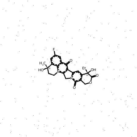 CC[C@@]1(O)C(=O)OCc2c1cc1n(c2=O)Cc2c-1c(=O)c1cc(F)cc3c1n2CC[C@]3(C)O